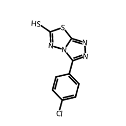 Sc1nn2c(-c3ccc(Cl)cc3)nnc2s1